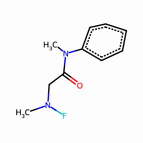 CN(F)CC(=O)N(C)c1ccccc1